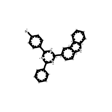 Brc1ccc(-c2nc(-c3ccccc3)nc(-c3ccc4sc5ccccc5c4c3)n2)cc1